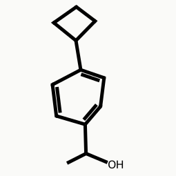 CC(O)c1ccc(C2CCC2)cc1